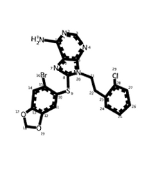 Nc1ncnc2c1nc(Sc1cc3c(cc1Br)OCO3)n2CCc1ccccc1Cl